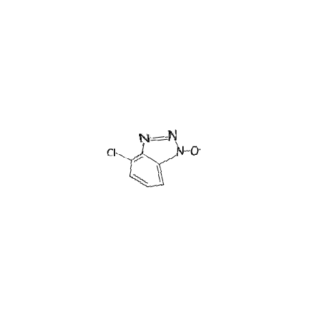 [O]n1nnc2c(Cl)cccc21